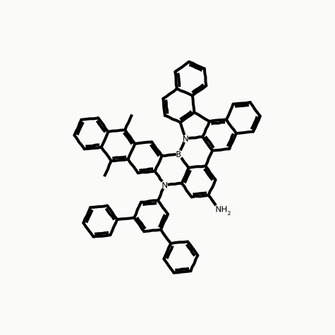 Cc1c2ccccc2c(C)c2cc3c(cc12)B1c2c(cc(N)cc2N3c2cc(-c3ccccc3)cc(-c3ccccc3)c2)-c2cc3ccccc3c3c4c5ccccc5ccc4n1c23